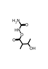 CC(O)C(C)C(=O)ONC(N)=O